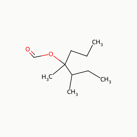 CCCC(C)(OC=O)C(C)CC